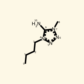 CCCC[n+]1nnn(C)c1N